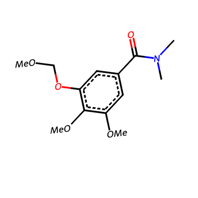 COCOc1cc(C(=O)N(C)C)cc(OC)c1OC